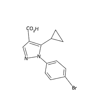 O=C(O)c1cnn(-c2ccc(Br)cc2)c1C1CC1